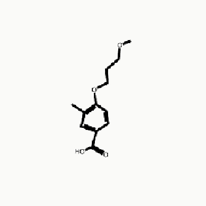 COCCCOc1ccc(C(=O)O)cc1C